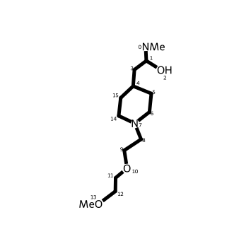 CNC(O)CC1CCN(CCOCCOC)CC1